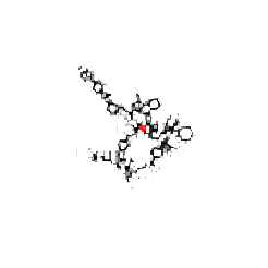 CC(C)[C@@H](NCCNC(=O)c1ccc2nc3c(nc2c1)CSC1CCCCCCC1SC3)C(=O)N[C@H](CCCNC(N)=O)C(=O)Nc1ccc(COC(=O)N(C)C[C@H](CCCCN2CCOCC2)N(C)C(=O)Oc2cc3c(c4ccccc24)[C@H](CCl)CN3C(=O)c2cc3cc(NC(=O)c4ccc(N5CCN(C)CC5)cc4)ccc3[nH]2)cc1